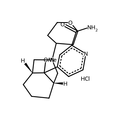 COC1(c2ccnc(C(N)=O)c2)[C@@H]2CCC[C@H]1CN(C1CCOCC1)C2.Cl